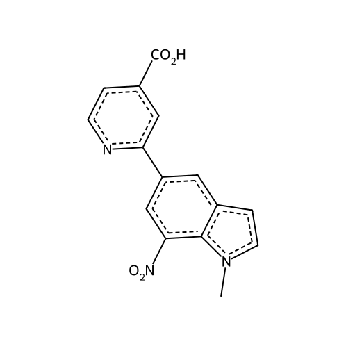 Cn1ccc2cc(-c3cc(C(=O)O)ccn3)cc([N+](=O)[O-])c21